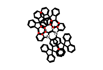 c1ccc2c(c1)-c1ccccc1C21c2ccccc2-c2ccc(N3C(=C4N(c5ccc6c(c5)C5(c7ccccc7-c7ccccc75)c5ccccc5-6)c5ccccc5N4c4ccc5c(c4)C4(c6ccccc6-c6ccccc64)c4ccccc4-5)N(c4ccc5c(c4)C4(c6ccccc6-c6ccccc64)c4ccccc4-5)c4ccccc43)cc21